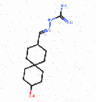 N=C(N)N/N=C/C1CCC2(CCC(O)CC2)CC1